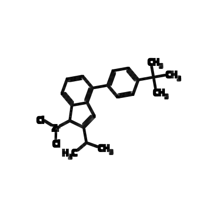 CC(C)C1=Cc2c(-c3ccc(C(C)(C)C)cc3)cccc2[CH]1[Zr]([Cl])[Cl]